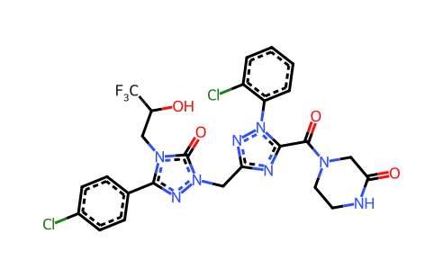 O=C1CN(C(=O)c2nc(Cn3nc(-c4ccc(Cl)cc4)n(CC(O)C(F)(F)F)c3=O)nn2-c2ccccc2Cl)CCN1